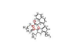 CCCCc1cc(-c2ccc3ccccc3c2C(OCOC)C(=O)OCC)ccc1C